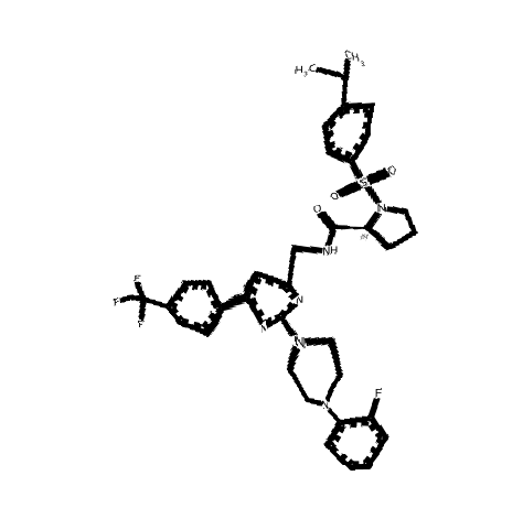 CC(C)c1ccc(S(=O)(=O)N2CCC[C@H]2C(=O)NCc2cc(-c3ccc(C(F)(F)F)cc3)nc(N3CCN(c4ccccc4F)CC3)n2)cc1